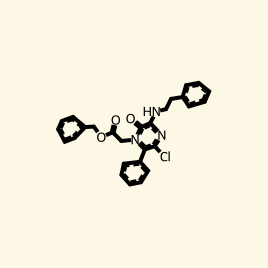 O=C(Cn1c(-c2ccccc2)c(Cl)nc(NCCc2ccccc2)c1=O)OCc1ccccc1